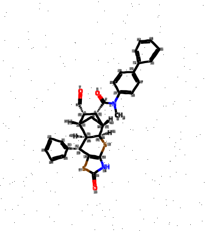 CN(C(=O)[C@H]1[C@@H](C=O)[C@@H]2C[C@H]1[C@H]1Sc3[nH]c(=O)sc3[C@H](c3ccccc3)[C@@H]21)c1ccc(-c2ccccc2)cc1